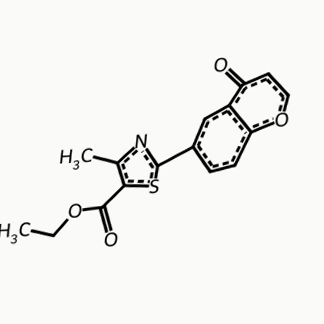 CCOC(=O)c1sc(-c2ccc3occc(=O)c3c2)nc1C